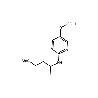 COCCC(C)Nc1ncc(OC(=O)O)cn1